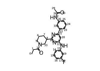 CCC(=O)N1CCCC(c2nc(Nc3cccc(F)c3)cc(-c3cccc(NC(C)=O)c3)n2)C1